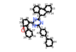 c1ccc(-c2ccc(-c3nc(-c4cc5ccccc5c5ccccc45)nc(-c4cccc5oc6ccccc6c45)n3)cc2)cc1